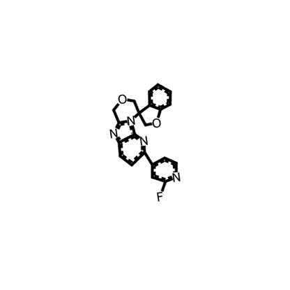 Fc1cc(-c2ccc3nc4n(c3n2)C2(COC4)COc3ccccc32)ccn1